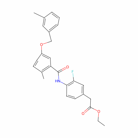 CCOC(=O)Cc1ccc(NC(=O)c2cc(OCc3cccc(C)c3)ccc2C)c(F)c1